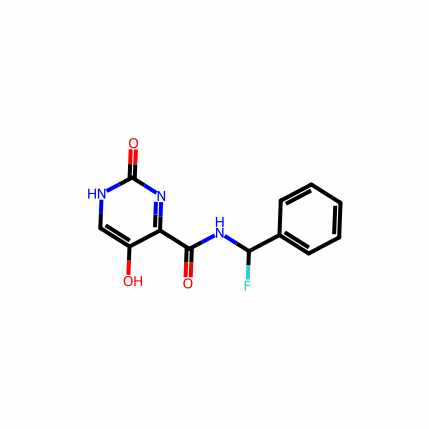 O=C(NC(F)c1ccccc1)c1nc(=O)[nH]cc1O